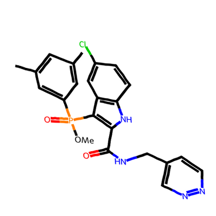 COP(=O)(c1cc(C)cc(C)c1)c1c(C(=O)NCc2ccnnc2)[nH]c2ccc(Cl)cc12